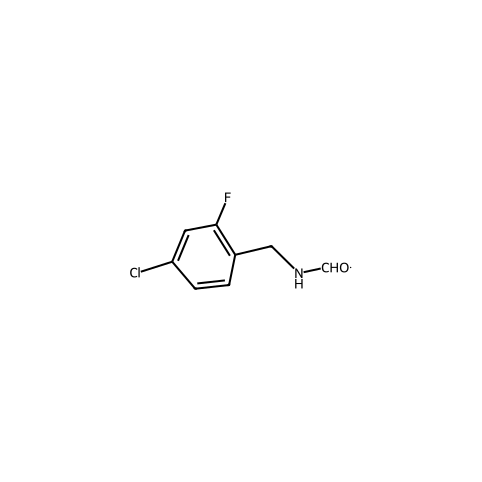 O=[C]NCc1ccc(Cl)cc1F